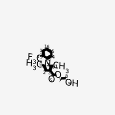 Cc1cc(C(=O)OCCO)c(C)n1-c1ccccc1C(F)(F)F